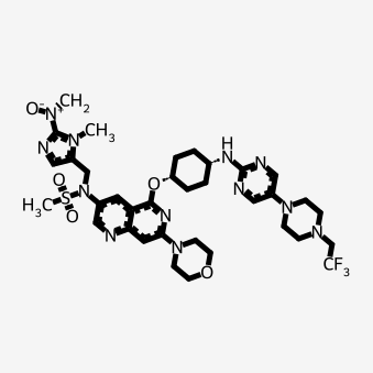 C=[N+]([O-])c1ncc(CN(c2cnc3cc(N4CCOCC4)nc(O[C@H]4CC[C@@H](Nc5ncc(N6CCN(CC(F)(F)F)CC6)cn5)CC4)c3c2)S(C)(=O)=O)n1C